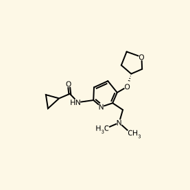 CN(C)Cc1nc(NC(=O)C2CC2)ccc1O[C@@H]1CCOC1